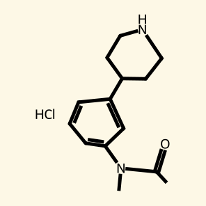 CC(=O)N(C)c1cccc(C2CCNCC2)c1.Cl